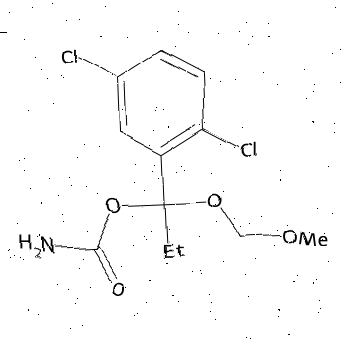 CCC(OCOC)(OC(N)=O)c1cc(Cl)ccc1Cl